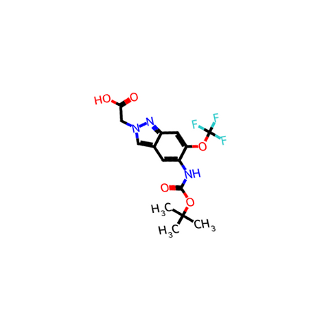 CC(C)(C)OC(=O)Nc1cc2cn(CC(=O)O)nc2cc1OC(F)(F)F